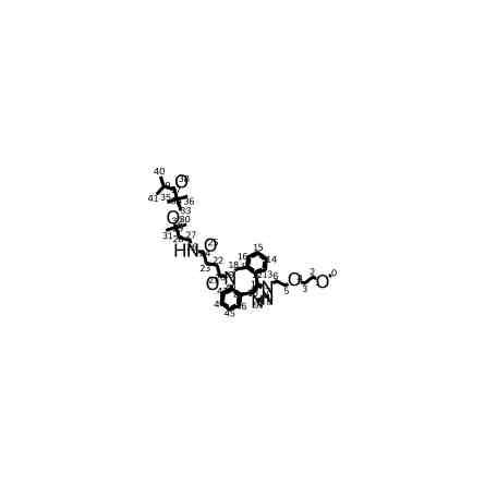 COCCOCCn1nnc2c1-c1ccccc1CN(C(=O)CCC(=O)NCCC(C)(C)OCC(C)(C)C(=O)C(C)C)c1ccccc1-2